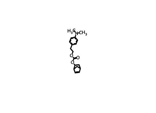 CN(C)c1ccc(CCOC(=O)OC2CC3C=CC2C3)cc1